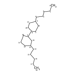 CCCCCC1CCC(C2CCCC(CCCCC)C2)CC1